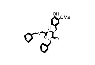 COc1cc(C[C@@H](NC(=O)CNCc2ccccc2)C(=O)OCc2ccccc2)ccc1O